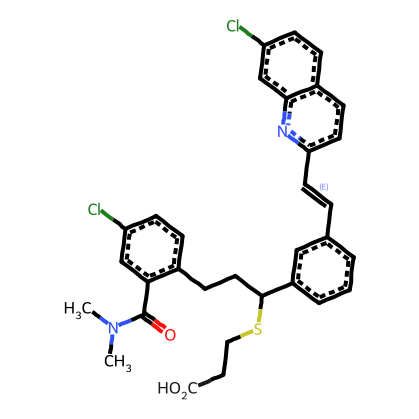 CN(C)C(=O)c1cc(Cl)ccc1CCC(SCCC(=O)O)c1cccc(/C=C/c2ccc3ccc(Cl)cc3n2)c1